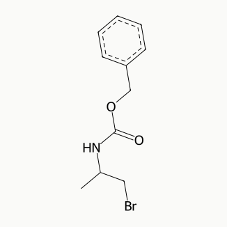 CC(CBr)NC(=O)OCc1ccccc1